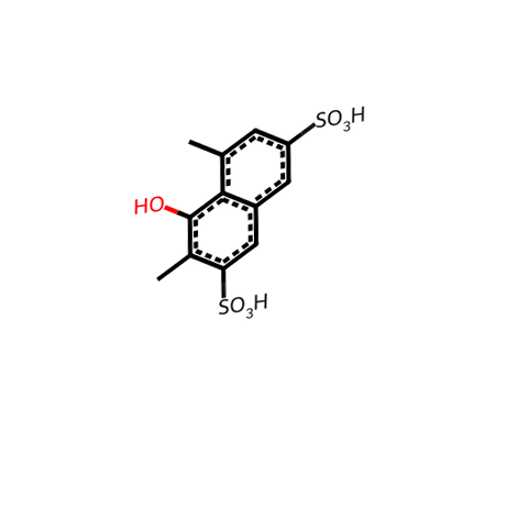 Cc1c(S(=O)(=O)O)cc2cc(S(=O)(=O)O)cc(C)c2c1O